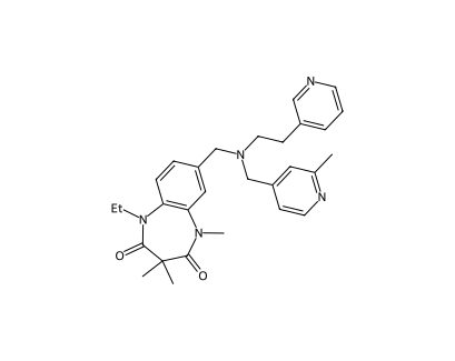 CCN1C(=O)C(C)(C)C(=O)N(C)c2cc(CN(CCc3cccnc3)Cc3ccnc(C)c3)ccc21